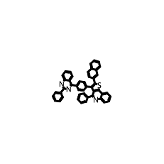 c1ccc(-c2nc(-c3ccc(-c4c(-c5ccc6ccccc6c5)sc5c4c(-c4ccccc4)nc4ccccc45)cc3)c3ccccc3n2)cc1